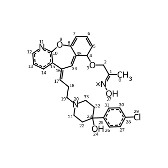 CC(COC1C=CC=C2Oc3ncccc3C(=CCCN3CCC(O)(c4ccc(Cl)cc4)CC3)C=C21)=NO